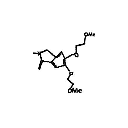 C=C1c2cc(OCCOC)c(OCCOC)cc2CN1C